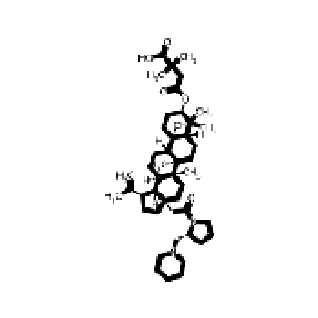 C=C(C)[C@@H]1CC[C@]2(CC(=O)N3CCC[C@@H]3CN3CCCCC3)CC[C@]3(C)[C@H](CC[C@@H]4[C@@]5(C)CC[C@H](OC(=O)CC(C)(C)C(=O)O)C(C)(C)[C@@H]5CC[C@]43C)[C@@H]12